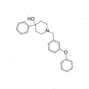 OC1(c2ccccc2)CCN(Cc2cccc(Oc3ccccc3)c2)CC1